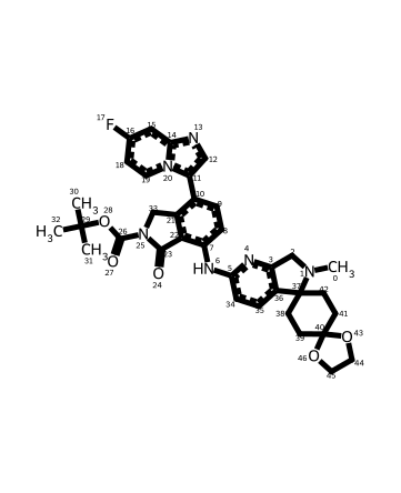 CN1Cc2nc(Nc3ccc(-c4cnc5cc(F)ccn45)c4c3C(=O)N(C(=O)OC(C)(C)C)C4)ccc2C12CCC1(CC2)OCCO1